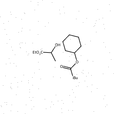 CCC(C)C(=O)OC1CCCCC1.CCOC(=O)C(C)O